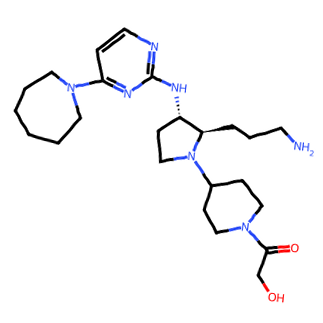 NCCC[C@@H]1[C@@H](Nc2nccc(N3CCCCCC3)n2)CCN1C1CCN(C(=O)CO)CC1